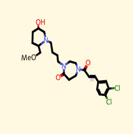 COCC1CCC(O)CN1CCCCN1CCN(C(=O)/C=C/c2ccc(Cl)c(Cl)c2)CCC1=O